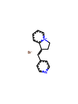 C(=C1CC[n+]2ccccc21)c1ccncc1.[Br-]